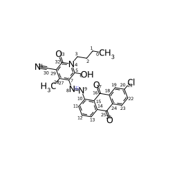 CCCCn1c(O)c(/N=N/c2cccc3c2C(=O)c2cc(Cl)ccc2C3=O)c(C)c(C#N)c1=O